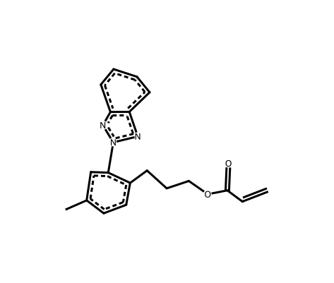 C=CC(=O)OCCCc1ccc(C)cc1-n1nc2ccccc2n1